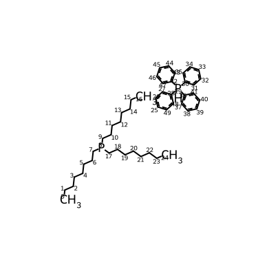 CCCCCCCCP(CCCCCCCC)CCCCCCCC.c1ccc([PH](c2ccccc2)(c2ccccc2)c2ccccc2)cc1